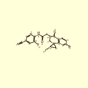 N#Cc1cnc(NC(=O)CN2C[C@]3(C[C@H]3F)c3cc(Br)ccc3C2=O)c(F)c1